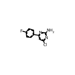 Nc1nc(Cl)[c]c(-c2ccc(F)cc2)n1